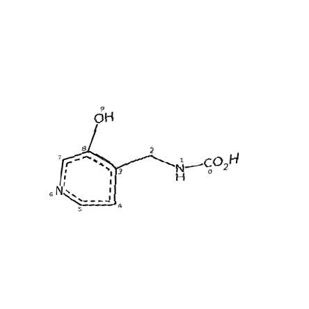 O=C(O)NCc1ccncc1O